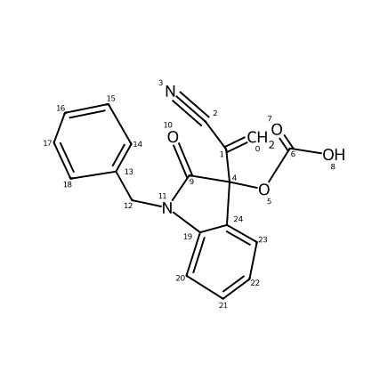 C=C(C#N)C1(OC(=O)O)C(=O)N(Cc2ccccc2)c2ccccc21